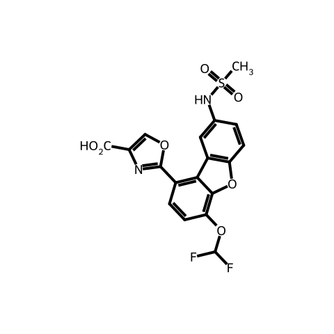 CS(=O)(=O)Nc1ccc2oc3c(OC(F)F)ccc(-c4nc(C(=O)O)co4)c3c2c1